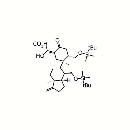 C=C1CC[C@H]2[C@H](CO[Si](C)(C)C(C)(C)C)[C@@H]([C@@]3(C)CC(=C(O)C(=O)O)C(=O)C[C@@H]3CO[Si](C)(C)C(C)(C)C)CC[C@]12C